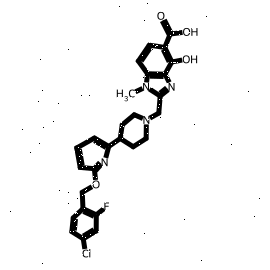 Cn1c(CN2CCC(c3cccc(OCc4ccc(Cl)cc4F)n3)CC2)nc2c(O)c(C(=O)O)ccc21